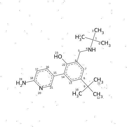 CC(C)(C)NCc1cc(C(C)(C)C)cc(-c2ccc(N)nc2)c1O